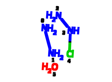 NN.NNCl.O